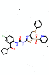 O=C(Nc1nc(CSc2ccccc2)c(S(=O)(=O)c2ccccn2)s1)Nc1ccc(F)cc1C(=O)C1CCCC1